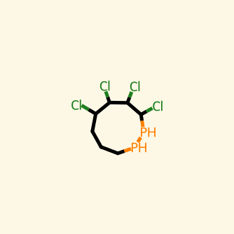 ClC1CCCPPC(Cl)C(Cl)C1Cl